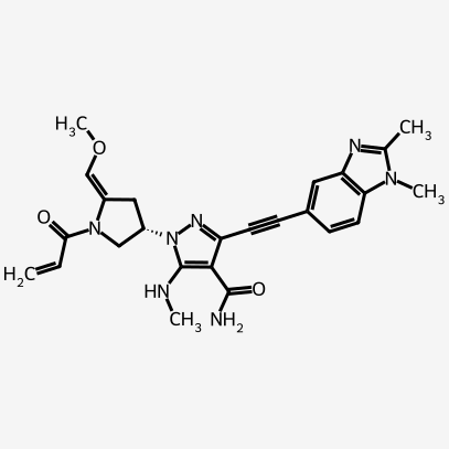 C=CC(=O)N1C[C@@H](n2nc(C#Cc3ccc4c(c3)nc(C)n4C)c(C(N)=O)c2NC)C/C1=C\OC